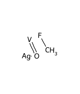 CF.[Ag].[O]=[V]